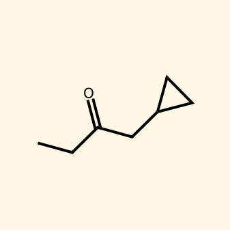 CCC(=O)CC1CC1